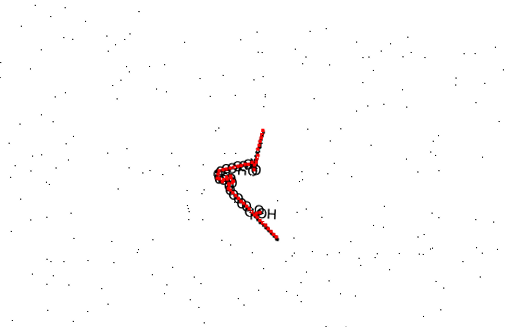 CCCCCCCCC=CCCCCCCCCN(CCOCCOCCOCCOCCOCCOCC(C)OCC(C)OCC(C)OCC(C)OCC(C)OCC(C)OCC(C)OCC(C)OCCOCCOCCOCCOCCOCCN(CCCCCCCCC=CCCCCCCCC)CCC(=O)O)CCC(=O)O